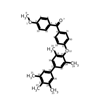 COc1ccc(C(=O)c2ccc(Oc3c(C)cc(-c4cc(C)c(C)c(C)c4)cc3C)cc2)cc1